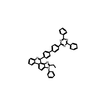 CCc1nc2c3c(-c4ccc(-c5ccc(-c6nc(-c7ccccc7)nc(-c7ccccc7)n6)cc5)cc4)nc4ccccc4c3ccc2n1-c1ccccc1